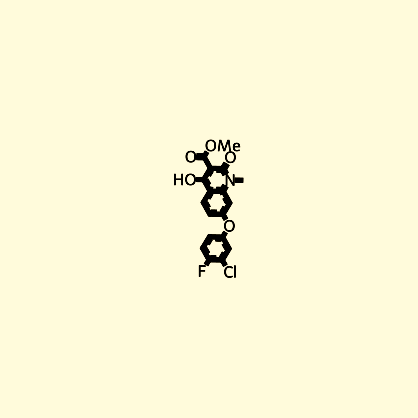 COC(=O)c1c(O)c2ccc(Oc3ccc(F)c(Cl)c3)cc2n(C)c1=O